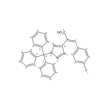 O=C(O)C(=Cc1ccc(F)cc1)c1nnn(C(c2ccccc2)(c2ccccc2)c2ccccc2)n1